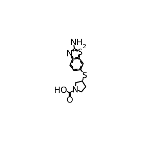 Nc1nc2ccc(S[C@H]3CCN(C(=O)O)C3)cc2s1